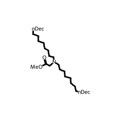 CCCCCCCCCCCCCCCCCCN(CCCCCCCCCCCCCCCCCC)CC(=O)OC